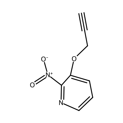 C#CCOc1cccnc1[N+](=O)[O-]